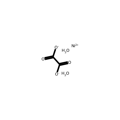 O.O.O=C([O-])C(=O)[O-].[Ni+2]